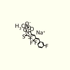 CP(=O)([O-])ON1C(=O)/C(=C/C(=C/c2cccc(F)c2)C(F)(F)F)SC1=S.[Na+]